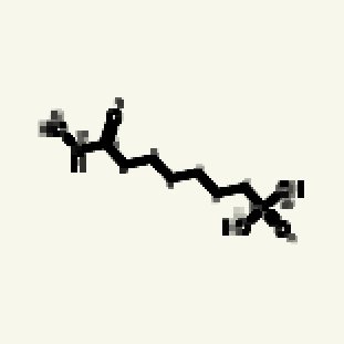 O=C(CCCCCCP(=O)(O)O)NO